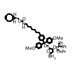 B[C@H]1C[C@@H](OP(OCCC)N(C(C)C)C(C)C)[C@@H](COC(c2ccc(CCCCCCCNC(=O)OC[C@@H]3[C@@H]4CCC#CCC[C@@H]43)cc2)(c2ccc(OC)cc2)c2ccc(OC)cc2)O1